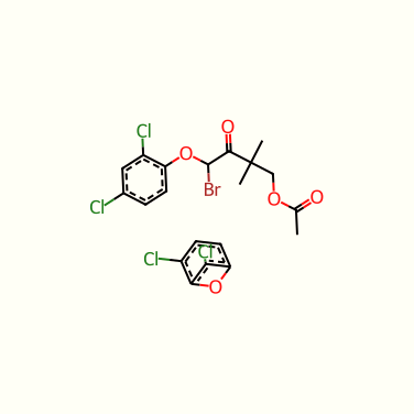 CC(=O)OCC(C)(C)C(=O)C(Br)Oc1ccc(Cl)cc1Cl.Clc1ccc2c(Cl)c1O2